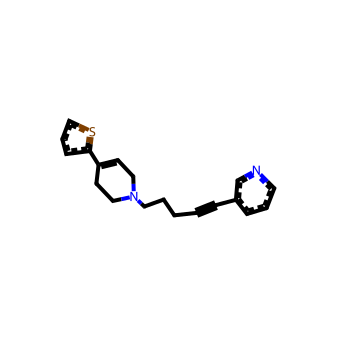 C(#Cc1cccnc1)CCCN1CC=C(c2cccs2)CC1